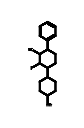 CCCC1CCC(C2CCC(c3ccccc3)C(C#N)C2F)CC1